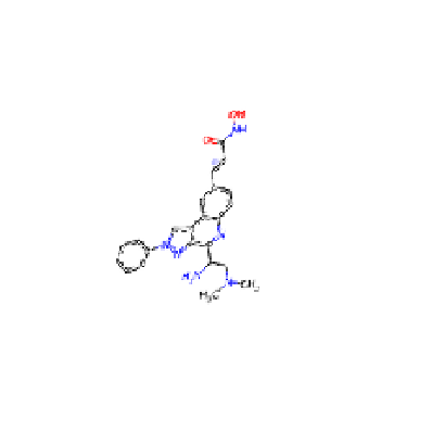 CN(C)CC(N)c1nc2ccc(/C=C/C(=O)NO)cc2c2cn(-c3ccccc3)nc12